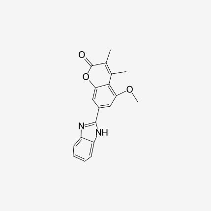 COc1cc(-c2nc3ccccc3[nH]2)cc2oc(=O)c(C)c(C)c12